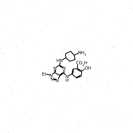 CCn1nnc2c(Nc3ccc(O)c(C(=O)O)c3)nc(NC3CCC(N)CC3)nc21